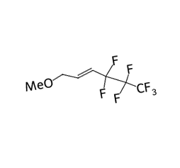 [CH2]OCC=CC(F)(F)C(F)(F)C(F)(F)F